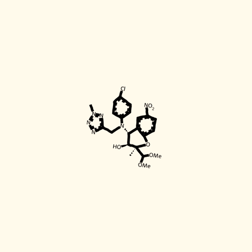 COC(OC)[C@]1(C)Oc2ccc([N+](=O)[O-])cc2[C@@H](N(Cc2nnn(C)n2)c2ccc(Cl)cc2)[C@@H]1O